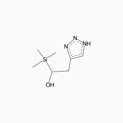 C[Si](C)(C)C(O)Cc1c[nH]nn1